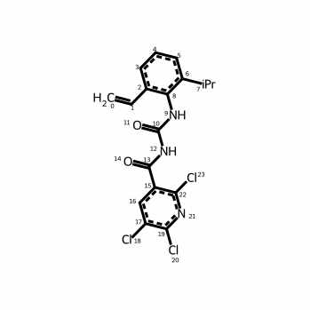 C=Cc1cccc(C(C)C)c1NC(=O)NC(=O)c1cc(Cl)c(Cl)nc1Cl